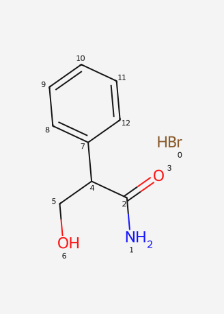 Br.NC(=O)C(CO)c1ccccc1